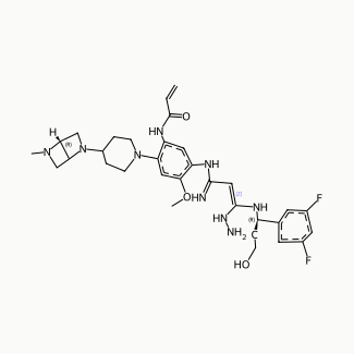 C=CC(=O)Nc1cc(NC(=N)/C=C(\NN)N[C@H](CCO)c2cc(F)cc(F)c2)c(OC)cc1N1CCC(N2C[C@@H]3C2CN3C)CC1